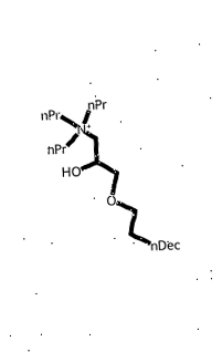 CCCCCCCCCCCCOCC(O)C[N+](CCC)(CCC)CCC